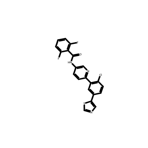 O=C(Nc1ccc(-c2cc(-c3cncs3)ccc2Cl)nc1)c1c(F)cccc1F